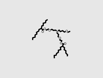 CCCCCCCCC(CCCCCC)C(=O)OCCOCCCN(CCCCOCC)CCCOCCOC(=O)C(CCCCCC)CCCCCCCC